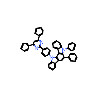 c1ccc(-c2cc(-c3ccccc3)nc(-c3ccc(-n4c5ccccc5c5cc(-c6ccccc6)c6c(c7ccccc7n6-c6ccccc6)c54)cc3)n2)cc1